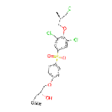 COC[C@@H](O)COc1ccc(S(=O)(=O)c2cc(Cl)c(OC[C@@H](C)CCl)c(Cl)c2)cc1